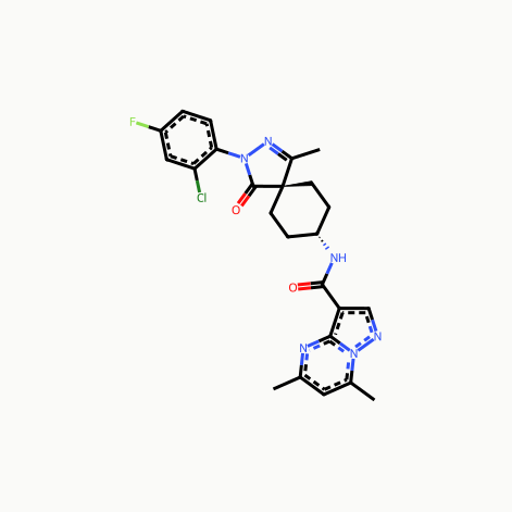 Cc1cc(C)n2ncc(C(=O)N[C@H]3CC[C@@]4(CC3)C(=O)N(c3ccc(F)cc3Cl)N=C4C)c2n1